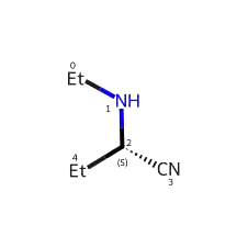 CCN[C@H](C#N)CC